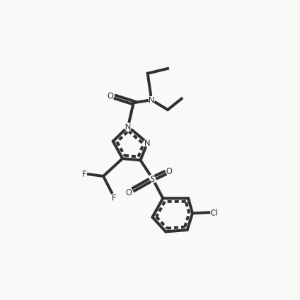 CCN(CC)C(=O)n1cc(C(F)F)c(S(=O)(=O)c2cccc(Cl)c2)n1